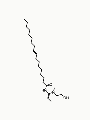 CC=C(NC(=O)CCCCCCCC=CCCCCCCCC)N(C)CCO